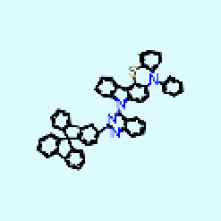 c1ccc(N2c3ccccc3Sc3c2ccc2c3c3ccccc3n2-c2nc(-c3ccc4c(c3)-c3ccccc3C43c4ccccc4-c4ccccc43)nc3ccccc23)cc1